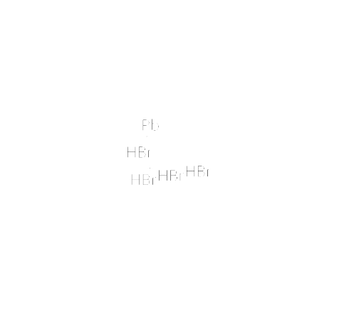 Br.Br.Br.Br.[Pb]